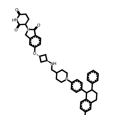 O=C1CCC(N2Cc3cc(O[C@H]4C[C@H](NCC5CCN(c6ccc(C7c8ccc(O)cc8CCC7c7ccccc7)cc6)CC5)C4)ccc3C2=O)C(=O)N1